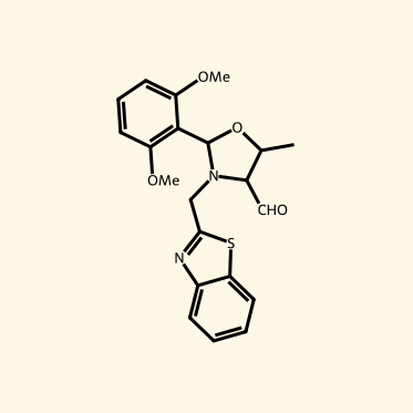 COc1cccc(OC)c1C1OC(C)C(C=O)N1Cc1nc2ccccc2s1